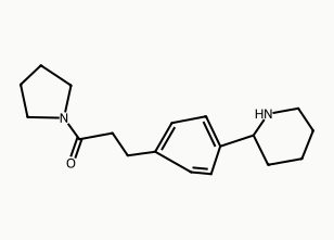 O=C(CCc1ccc(C2CCCCN2)cc1)N1CCCC1